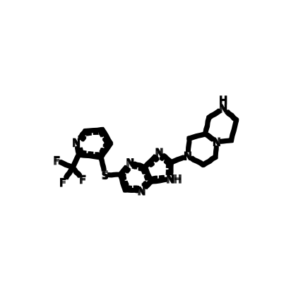 FC(F)(F)c1ncccc1Sc1cnc2[nH]c(N3CCN4CCNCC4C3)nc2n1